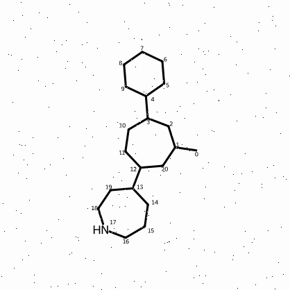 CC1CC(C2CCCCC2)CCC(C2CCCNCC2)C1